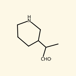 CC([C]=O)C1CCCNC1